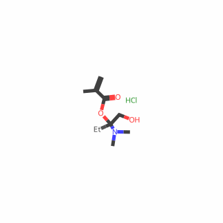 C=C(C)C(=O)OC(CC)(CO)N(C)C.Cl